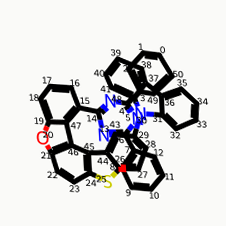 c1ccc(-c2nc(-c3ccccc3)nc(-c3cccc4oc5ccc6sc7ccc(-n8c9ccccc9c9ccccc98)cc7c6c5c34)n2)cc1